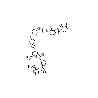 Cn1cnnc1CC1(c2cccc(N3Cc4c(cc(N5CC6(CCN(C[C@H]7CC[C@H](OC8CCN(c9ccc%10c(c9F)CN(C9CCC(=O)NC9=O)C%10=O)CC8)CC7)CC6)C5)cc4C(F)(F)F)C3=O)c2)COC1